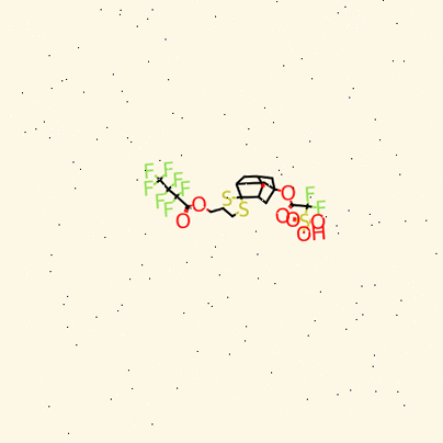 O=C(OCC1CSC2(S1)C1CC3CC2CC(OC(=O)C(F)(F)S(=O)(=O)O)(C3)C1)C(F)(F)C(F)(F)C(F)(F)F